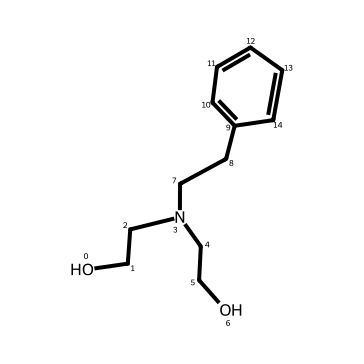 OCCN(CCO)CCc1ccccc1